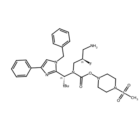 CC(C)(C)[C@H](c1nc(-c2ccccc2)cn1Cc1ccccc1)N(C[C@H](F)CN)C(=O)ON1CCN(S(C)(=O)=O)CC1